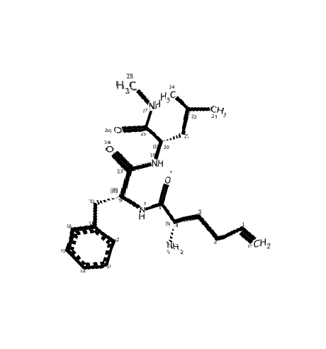 C=CCC[C@H](N)C(=O)N[C@H](Cc1ccccc1)C(=O)N[C@@H](CC(C)C)C(=O)NC